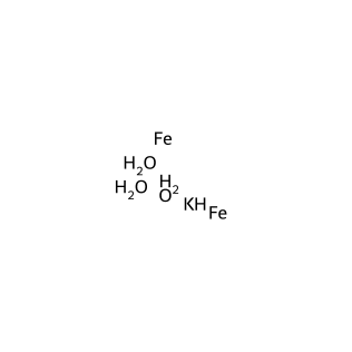 O.O.O.[Fe].[Fe].[KH]